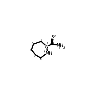 NC(=S)N1CCCCCN1